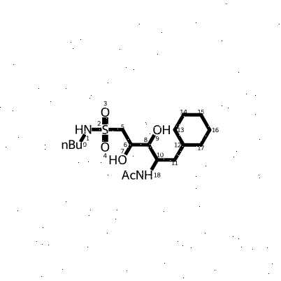 CCCCNS(=O)(=O)CC(O)C(O)C(CC1CCCCC1)NC(C)=O